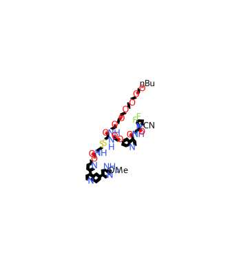 CCCCOCCOCCOCCOCCOCCOCCNC(=O)C(CSSCCNC(=O)OCc1ccc(-c2ccnc3ccc(-c4cnc(OC)c(N)c4)cc23)cn1)NC(=O)COc1ccc2nccc(C(=O)NCC(=O)N3CC(F)(F)C[C@H]3C#N)c2c1